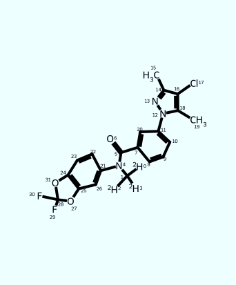 [2H]C([2H])([2H])N(C(=O)c1cccc(-n2nc(C)c(Cl)c2C)c1)c1ccc2c(c1)OC(F)(F)O2